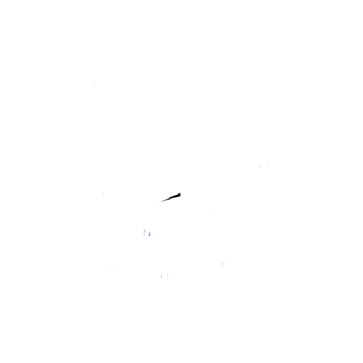 CC[C@@H](CO)N1C(=O)CCC(c2cccc(Cl)c2)[C@H]1c1ccc(Cl)cc1